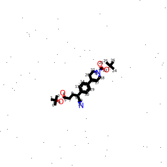 CC(C)(C)OC(=O)CCC(C#N)c1ccc(C2=CCN(C(=O)OC(C)(C)C)CC2)cc1